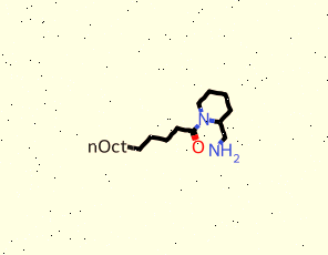 CCCCCCCCCCCCC(=O)N1CCCCC1CN